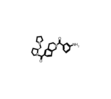 Nc1cccc(C(=O)N2CCc3cc(C(=O)N4CCC[C@H]4CN4CCCC4)ccc3C2)c1